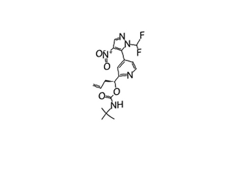 C=CC[C@H](OC(=O)NC(C)(C)C)c1cc(-c2c([N+](=O)[O-])cnn2C(F)F)ccn1